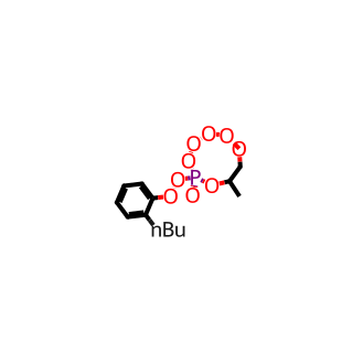 CCCCc1ccccc1OOP1(=O)OOOOOCC(C)O1